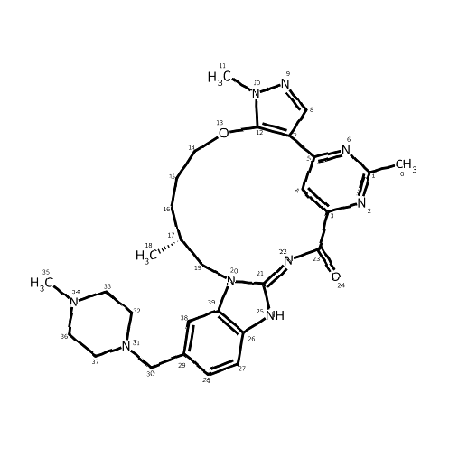 Cc1nc2cc(n1)-c1cnn(C)c1OCCC[C@@H](C)CN1/C(=N/C2=O)Nc2ccc(CN3CCN(C)CC3)cc21